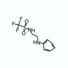 O=S(=O)(NCCNc1ccccc1)C(F)(F)F